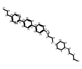 CCCCC[C@H]1CC[C@H](CCCOc2ccc(-c3ccc(-c4ncc(CCC)cn4)cc3)cc2)CC1